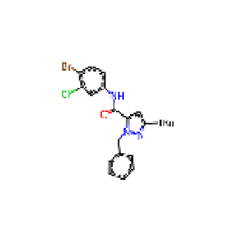 CC(C)(C)c1cc(C(=O)Nc2ccc(Br)c(Cl)c2)n(Cc2ccccc2)n1